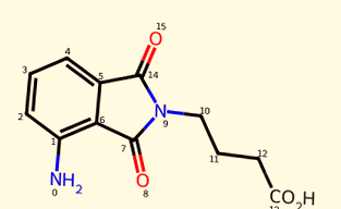 Nc1cccc2c1C(=O)N(CCCC(=O)O)C2=O